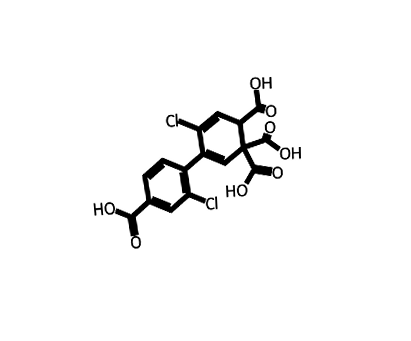 O=C(O)c1ccc(C2=CC(C(=O)O)(C(=O)O)C(C(=O)O)C=C2Cl)c(Cl)c1